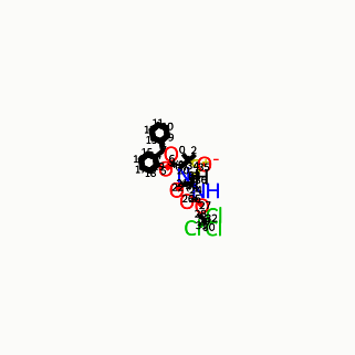 CC1(C)[C@H](C(=O)OC(c2ccccc2)c2ccccc2)N2C(=O)[C@@H](NC(=O)OCC(Cl)(Cl)Cl)[C@@H]2[S+]1[O-]